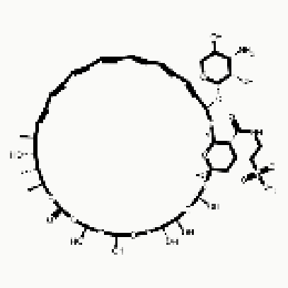 C[C@@H]1[C@H](O)[C@@H](C)/C=C/C=C/C=C/C=C/C=C/C=C/C=C/[C@H](O[C@@H]2OC[C@@H](O)[C@H](N)[C@@H]2O)C[C@@H]2O[C@@](O)(CC[C@H]2C(=O)NCCS(N)(=O)=O)C[C@@H](O)C[C@@H](O)[C@H](O)CC[C@@H](O)C[C@@H](O)CC(=O)O[C@H]1C